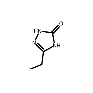 O=c1[nH]nc(CI)[nH]1